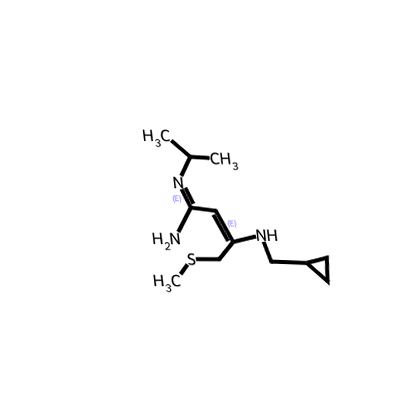 CSC/C(=C\C(N)=N/C(C)C)NCC1CC1